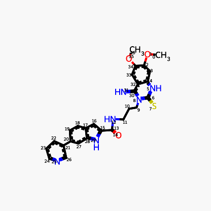 COc1cc2[nH]c(=S)n(CCCNC(=O)c3cc4ccc(-c5cccnc5)cc4[nH]3)c(=N)c2cc1OC